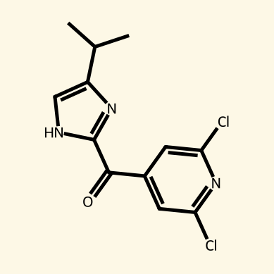 CC(C)c1c[nH]c(C(=O)c2cc(Cl)nc(Cl)c2)n1